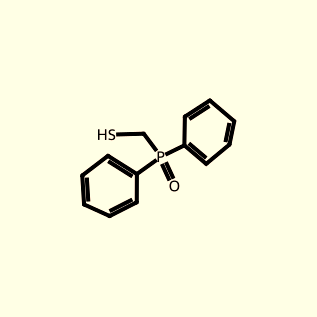 O=P(CS)(c1ccccc1)c1ccccc1